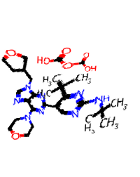 CC(C)(C)Nc1ncc(-c2nc(N3CCOCC3)c3ncn(CC4CCOC4)c3n2)c(C(C)(C)C)n1.O=C(O)OC(=O)O